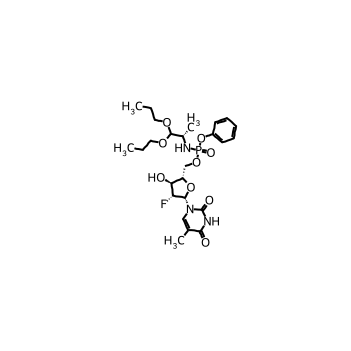 CCCOC(OCCC)[C@H](C)NP(=O)(OC[C@@H]1O[C@H](n2cc(C)c(=O)[nH]c2=O)[C@H](F)[C@H]1O)Oc1ccccc1